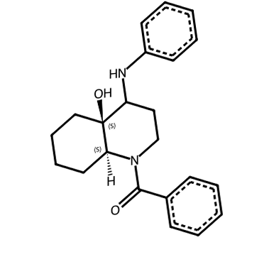 O=C(c1ccccc1)N1CCC(Nc2ccccc2)[C@@]2(O)CCCC[C@H]12